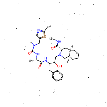 CC(C)c1ncc(CN(C)C(=O)N[C@H](C(=O)N[C@@H](Cc2ccccc2)[C@H](O)CN2C[C@@H]3CCCC[C@@H]3C[C@H]2C(=O)NC(C)(C)C)C(C)C)s1